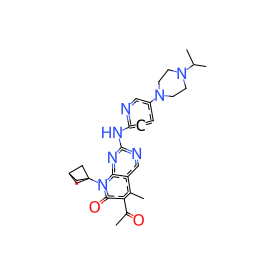 CC(=O)c1c(C)c2cnc(Nc3ccc(N4CCN(C(C)C)CC4)cn3)nc2n(C23CC(C2)C3)c1=O